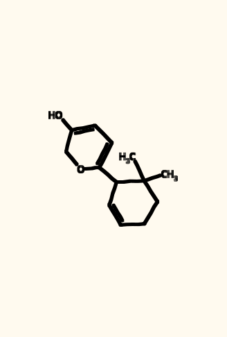 CC1(C)CCC=CC1C1=CC=C(O)CO1